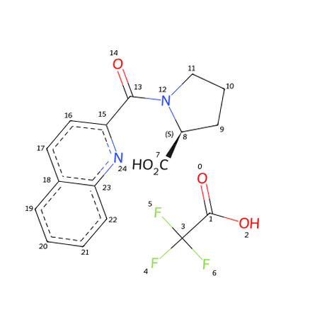 O=C(O)C(F)(F)F.O=C(O)[C@@H]1CCCN1C(=O)c1ccc2ccccc2n1